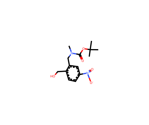 CN(Cc1cc([N+](=O)[O-])ccc1CO)C(=O)OC(C)(C)C